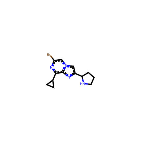 Brc1cn2cc(C3CCCN3)nc2c(C2CC2)n1